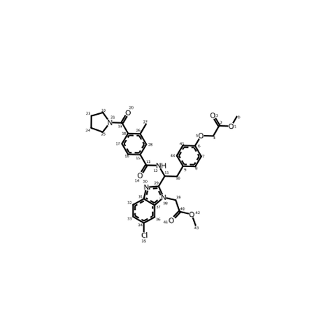 COC(=O)COc1ccc(CC(NC(=O)c2ccc(C(=O)N3CCCC3)c(C)c2)c2nc3ccc(Cl)cc3n2CC(=O)OC)cc1